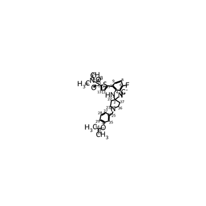 [C-]#[N+]C1(Nc2cc(F)ccc2-c2ccc(S(=O)(=O)N(C)C)s2)CCN(Cc2cccc(OC(C)C)c2)CC1